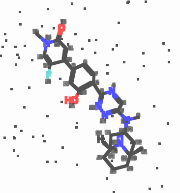 CN(c1cnc(-c2ccc(-c3cc(=O)n(C)cc3F)cc2O)nn1)[C@@H]1C[C@H]2CCC[C@@](C)(C1)N2